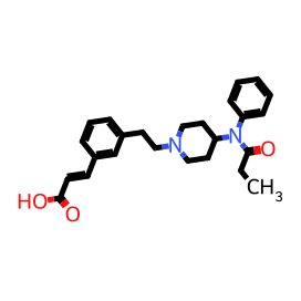 CCC(=O)N(c1ccccc1)C1CCN(CCc2cccc(/C=C/C(=O)O)c2)CC1